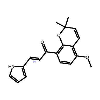 COc1ccc(C(=O)/C=C/c2ccc[nH]2)c2c1C=CC(C)(C)O2